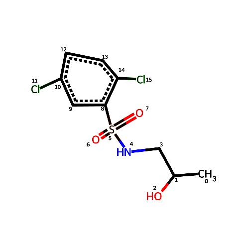 CC(O)CNS(=O)(=O)c1cc(Cl)ccc1Cl